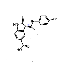 C/C(Nc1ccc(Br)cc1)=C1/C(=O)Nc2ccc(C(=O)O)cc21